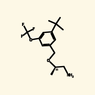 C[C@H](CN)OCc1cc(OC(F)(F)F)cc(C(C)(C)C)c1